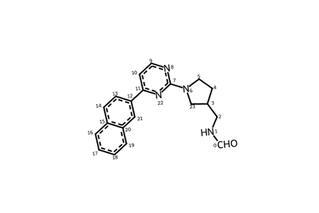 O=CNCC1CCN(c2nccc(-c3ccc4ccccc4c3)n2)C1